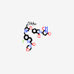 COC[C@@H]1CN(Cc2cc(F)c3nc(C(=O)N4CCOCC4)ccc3c2)C[C@H]1Oc1ccc2c(c1)CN([C@H]1CCC(=O)NC1=O)C2=O